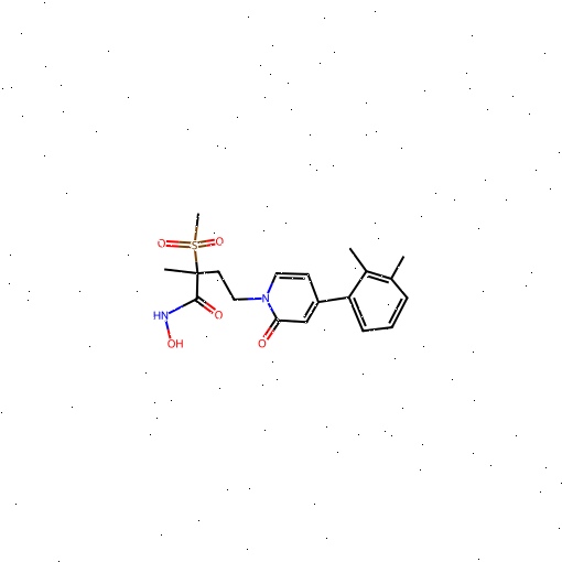 Cc1cccc(-c2ccn(CCC(C)(C(=O)NO)S(C)(=O)=O)c(=O)c2)c1C